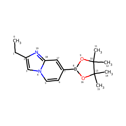 CCc1cn2ccc(B3OC(C)(C)C(C)(C)O3)cc2n1